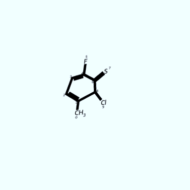 CC1=CC=C(F)C(=S)C1Cl